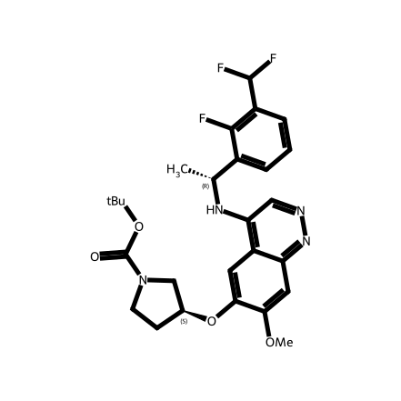 COc1cc2nncc(N[C@H](C)c3cccc(C(F)F)c3F)c2cc1O[C@H]1CCN(C(=O)OC(C)(C)C)C1